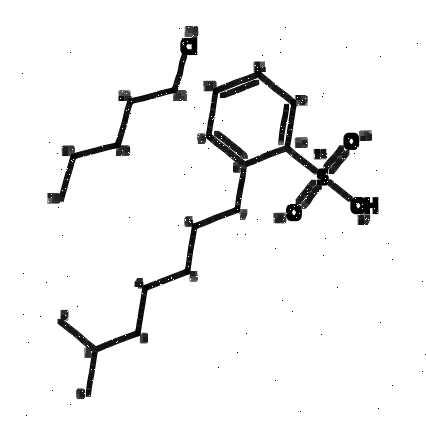 CC(C)CCCCCc1ccccc1S(=O)(=O)O.CCCCCCl